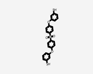 O=S(=O)(c1ccc(Oc2cccc(S)c2)cc1)c1ccc(Oc2cccc(S)c2)cc1